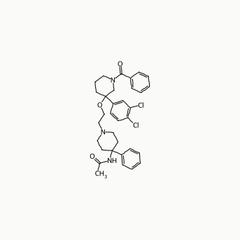 CC(=O)NC1(c2ccccc2)CCN(CCOC2(c3ccc(Cl)c(Cl)c3)CCCN(C(=O)c3ccccc3)C2)CC1